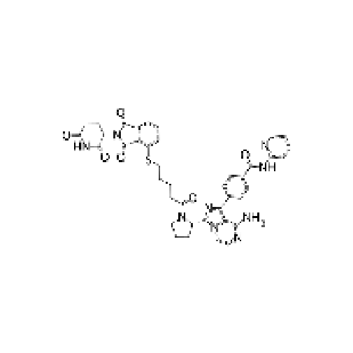 Nc1nccn2c([C@@H]3CCCN3C(=O)CCCCSc3cccc4c3C(=O)N(C3CCC(=O)NC3=O)C4=O)nc(-c3ccc(C(=O)Nc4ccccn4)cc3)c12